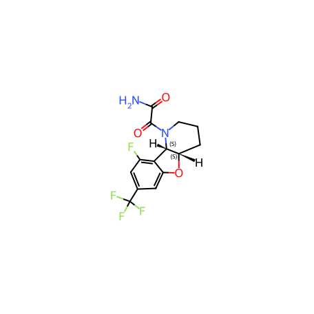 NC(=O)C(=O)N1CCC[C@@H]2Oc3cc(C(F)(F)F)cc(F)c3[C@@H]21